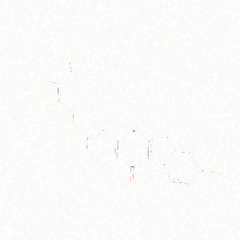 CC1(C)OC(COc2ccc3c(c2)C(C)(C)c2[nH]c4cc(Br)ccc4c2C3=O)[C@@H](CO)O1